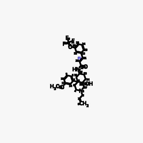 C=CCN1CCC2(c3cccc(OC)c3)CC(NC(=O)/C=C/c3cccc(OC(F)(F)F)c3)CCC2(O)C1